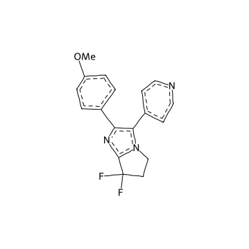 COc1ccc(-c2nc3n(c2-c2ccncc2)CCC3(F)F)cc1